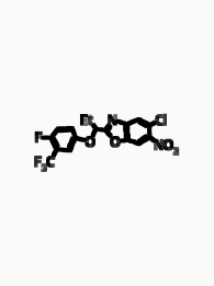 CCC(Oc1ccc(F)c(C(F)(F)F)c1)c1nc2cc(Cl)c([N+](=O)[O-])cc2o1